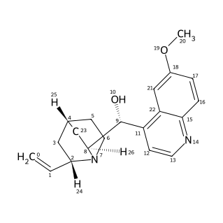 C=C[C@@H]1C[C@@H]2CCN1[C@H]([C@H](O)c1ccnc3ccc(OC)cc13)C2